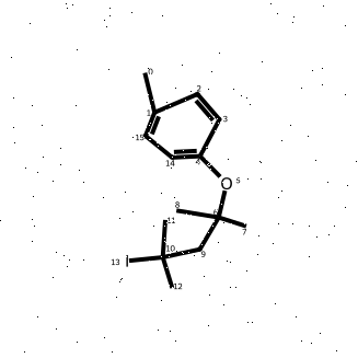 Cc1ccc(OC(C)(C)CC(C)(C)I)cc1